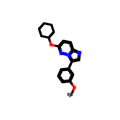 FC(F)(F)Oc1cccc(-c2cnc3ccc(OC4CCCCC4)nn23)c1